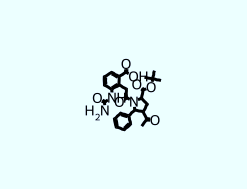 CC(=O)C1CC(C(=O)OC(C)(C)C)N(C(=O)Cc2c(NC(N)=O)cccc2C(=O)O)C1c1ccccc1